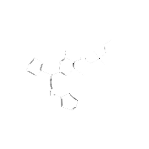 CCCC(C)(C)COc1c(C)cc(C(=C=Nc2ccccc2)c2ccccc2)cc1C